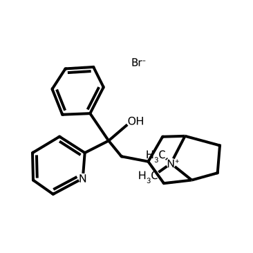 C[N+]1(C)C2CCC1CC(CC(O)(c1ccccc1)c1ccccn1)C2.[Br-]